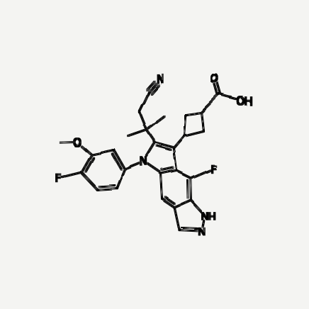 COc1cc(-n2c(C(C)(C)CC#N)c(C3CC(C(=O)O)C3)c3c(F)c4[nH]ncc4cc32)ccc1F